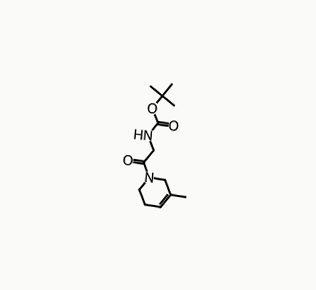 CC1=CCCN(C(=O)CNC(=O)OC(C)(C)C)C1